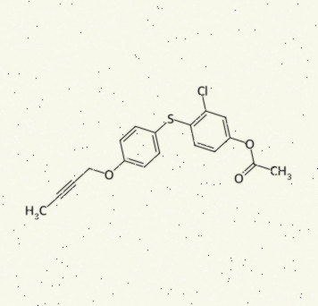 CC#CCOc1ccc(Sc2ccc(OC(C)=O)cc2Cl)cc1